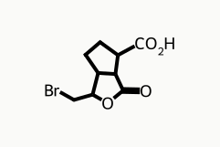 O=C(O)C1CCC2C(CBr)OC(=O)C12